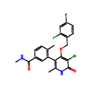 CNC(=O)c1ccc(C)c(-c2c(C)[nH]c(=O)c(Br)c2OCc2ccc(F)cc2F)c1